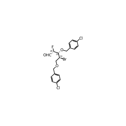 O=C[C@H](F)[C@H](OCc1ccc(Cl)cc1)[C@@H](Br)COCc1ccc(Cl)cc1